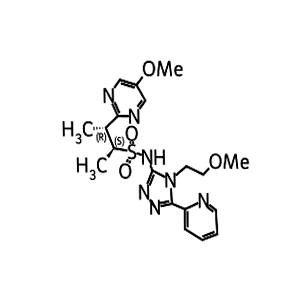 COCCn1c(NS(=O)(=O)[C@@H](C)[C@H](C)c2ncc(OC)cn2)nnc1-c1ccccn1